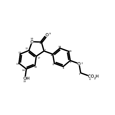 O=C(O)COc1ccc(C2C(=O)Oc3ccc(O)cc32)cc1